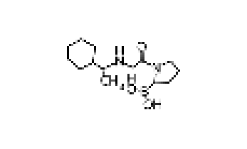 C[C@@H](NCC(=O)N1CCC[C@H]1B(O)O)C1CCCCC1